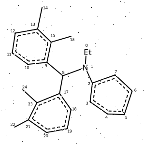 CCN(c1ccccc1)C(c1cccc(C)c1C)c1cccc(C)c1C